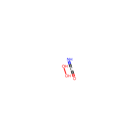 N=C=O.OO